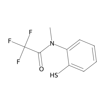 CN(C(=O)C(F)(F)F)c1ccccc1S